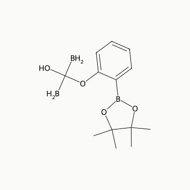 BC(B)(O)Oc1ccccc1B1OC(C)(C)C(C)(C)O1